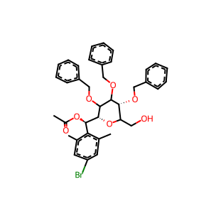 CC(=O)O[C@H](c1c(C)cc(Br)cc1C)[C@H]1OC(CO)[C@@H](OCc2ccccc2)C(OCc2ccccc2)C1OCc1ccccc1